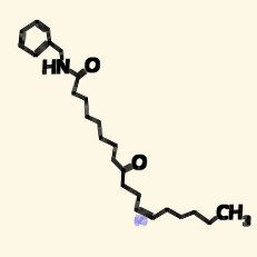 CCCCC/C=C\CCC(=O)CCCCCCCC(=O)NCc1ccccc1